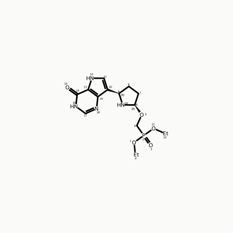 CCOP(=O)(CO[C@@H]1CC[C@H](c2c[nH]c3c(=O)[nH]cnc23)N1)OCC